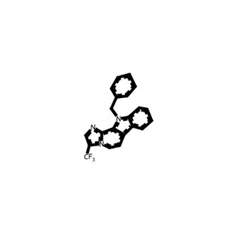 FC(F)(F)c1cnc2c3c(ccn12)c1ccccc1n3Cc1ccccc1